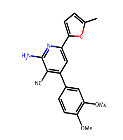 COc1ccc(-c2cc(-c3ccc(C)o3)nc(N)c2C#N)cc1OC